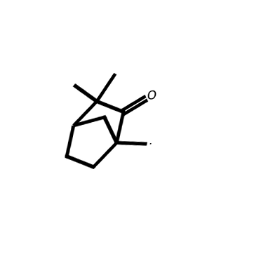 [CH2]C12CCC(C1)C(C)(C)C2=O